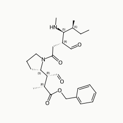 CC[C@H](C)[C@H](NC)[C@H](C=O)CC(=O)N1CCC[C@H]1[C@H](C=O)[C@@H](C)C(=O)OCc1ccccc1